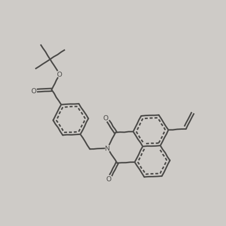 C=Cc1ccc2c3c(cccc13)C(=O)N(Cc1ccc(C(=O)OC(C)(C)C)cc1)C2=O